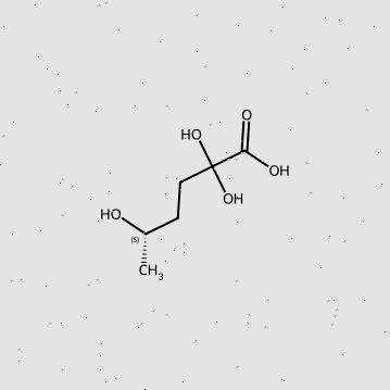 C[C@H](O)CCC(O)(O)C(=O)O